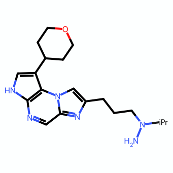 CC(C)N(N)CCCc1cn2c(cnc3[nH]cc(C4CCOCC4)c32)n1